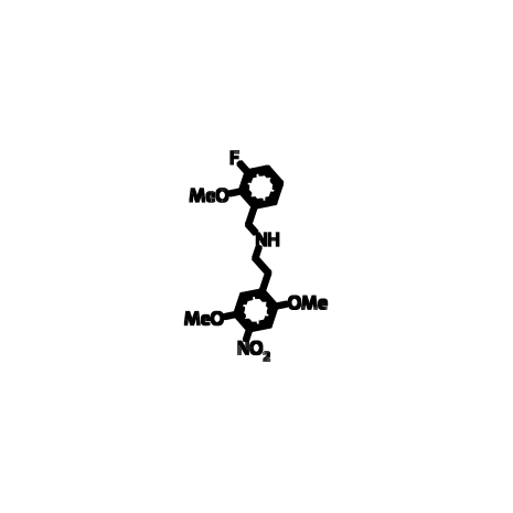 COc1cc([N+](=O)[O-])c(OC)cc1CCNCc1cccc(F)c1OC